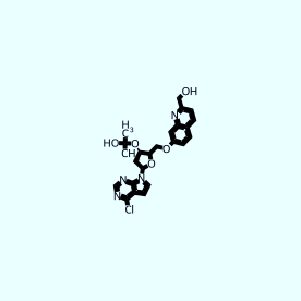 CC(C)(O)O[C@H]1CC(n2ccc3c(Cl)ncnc32)OC1COc1ccc2ccc(CO)nc2c1